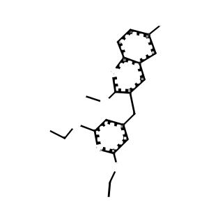 CCOc1cc(Cc2cc3cc(Br)ccc3nc2OC)cc(OCC)n1